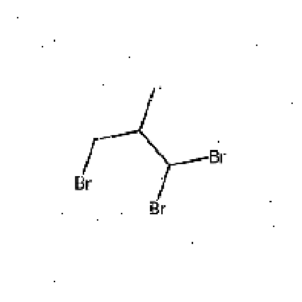 [CH2]C(CBr)C(Br)Br